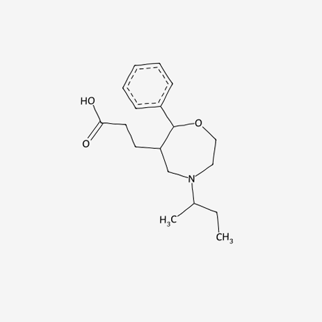 CCC(C)N1CCOC(c2ccccc2)C(CCC(=O)O)C1